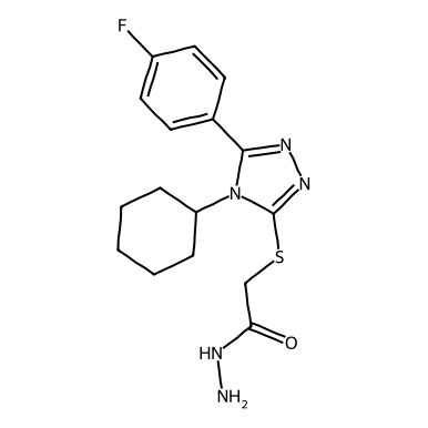 NNC(=O)CSc1nnc(-c2ccc(F)cc2)n1C1CCCCC1